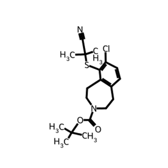 CC(C)(C)OC(=O)N1CCc2ccc(Cl)c(SC(C)(C)C#N)c2CC1